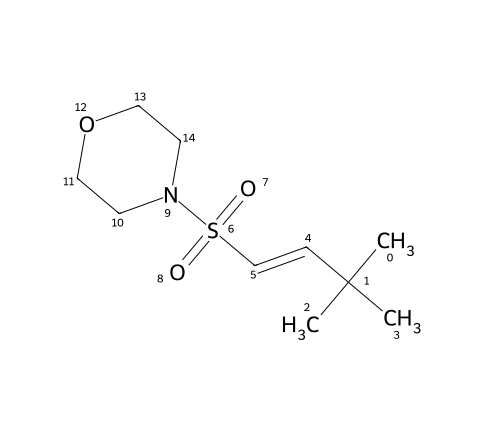 CC(C)(C)C=CS(=O)(=O)N1CCOCC1